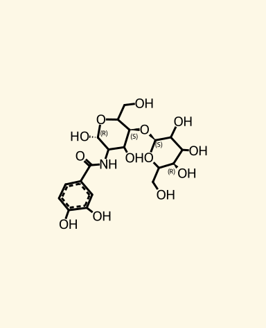 O=C(NC1C(O)[C@H](O[C@@H]2OC(CO)[C@H](O)C(O)C2O)C(CO)O[C@H]1O)c1ccc(O)c(O)c1